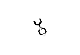 C=C/C(=C\C)N1CCOCC1